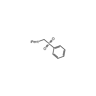 CCCC(C)CS(=O)(=O)c1ccccc1